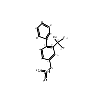 O=[SH](=O)Cc1ccc(-c2ccccc2)c(C(F)(F)F)c1